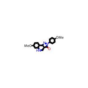 COc1ccc(-n2nc3c4ccc(OC)cc4[nH]cc-3c2=O)cc1